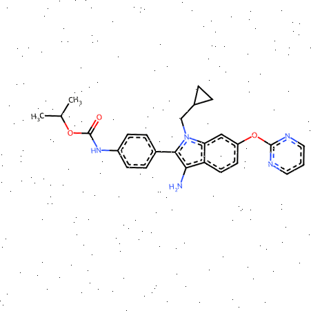 CC(C)OC(=O)Nc1ccc(-c2c(N)c3ccc(Oc4ncccn4)cc3n2CC2CC2)cc1